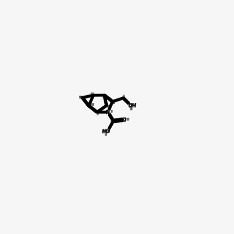 O=C(O)N1C(CO)C2CC1C1CC21